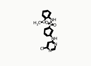 COc1ccccc1NS(=O)(=O)c1cccc(Nc2cc(Cl)ncn2)c1